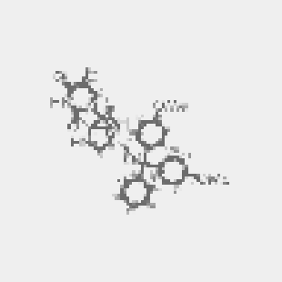 COc1ccc(C(OC[C@]23CN[C@H]([C@@H]2O)[C@](C)(n2cc(C)c(=O)[nH]c2=O)O3)(c2ccccc2)c2ccc(OC)cc2)cc1